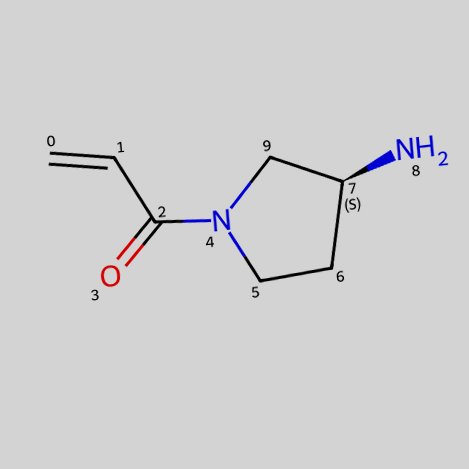 C=CC(=O)N1CC[C@H](N)C1